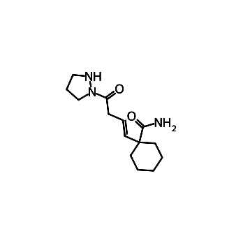 NC(=O)C1(C=CCC(=O)N2CCCN2)CCCCC1